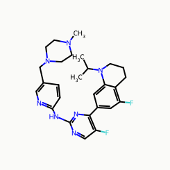 CC(C)N1CCCc2c(F)cc(-c3nc(Nc4ccc(CN5CCN(C)CC5)cn4)ncc3F)cc21